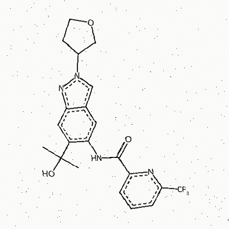 CC(C)(O)c1cc2nn(C3CCOC3)cc2cc1NC(=O)c1cccc(C(F)(F)F)n1